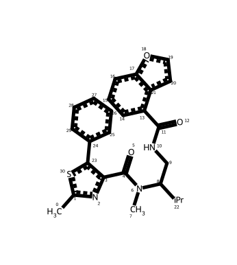 Cc1nc(C(=O)N(C)C(CNC(=O)c2cccc3occc23)C(C)C)c(-c2ccccc2)s1